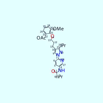 CCCC(=O)Nc1ccc(-n2cc(CCCOc3c(OC)cccc3OC(C)=O)c(C(C)C)n2)nc1